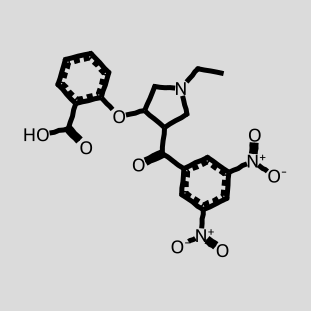 CCN1CC(Oc2ccccc2C(=O)O)C(C(=O)c2cc([N+](=O)[O-])cc([N+](=O)[O-])c2)C1